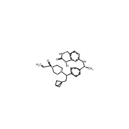 C=CC(=O)N1CCN(C(CC23CC(C2)C3)c2ccc([C@H](C)Nc3ncc4c(n3)N(CC)C(=O)NC4)cc2)CC1